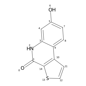 O=c1[nH]c2cc(O)ccc2c2ccsc12